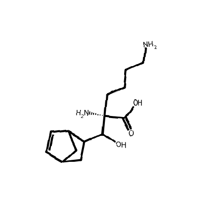 NCCCC[C@@](N)(C(=O)O)C(O)C1CC2C=CC1C2